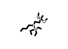 CCCCN(CC[Si](C)(OC)OC)[Si](CC)(CC)CC